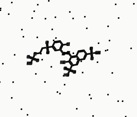 O=S(=O)(O)OCCS(=O)(=O)c1ccc(Cl)c(/N=N/c2c(O)c(S(=O)(=O)O)cc3cc(S(=O)(=O)O)ccc23)c1